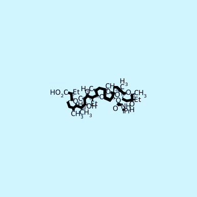 CC[C@@H](C(=O)[C@@H](C)[C@@H](O)[C@H](C)[C@@H]1O[C@@H]([C@@H](CC)C(=O)O)CCC1C)[C@H]1O[C@]2(C=C[C@@H](OC(=O)NC(C)C)[C@]3(CC[C@@](C)([C@H]4CC[C@](O)(CC)[C@H](C)O4)O3)O2)[C@H](C)C[C@@H]1C